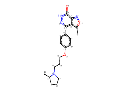 Cc1onc2c(=O)[nH]nc(-c3ccc(OCCCN4CCC[C@H]4C)cc3)c12